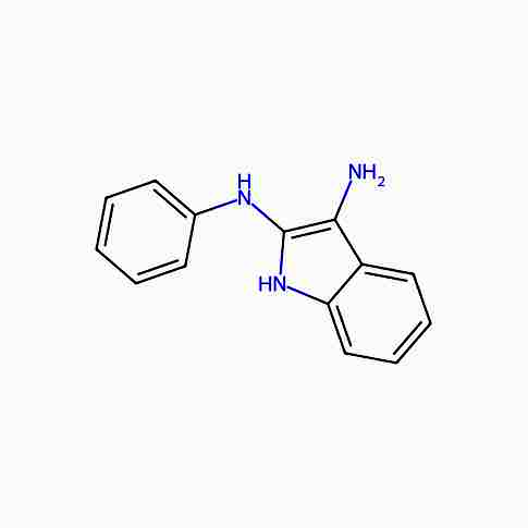 Nc1c(Nc2ccccc2)[nH]c2ccccc12